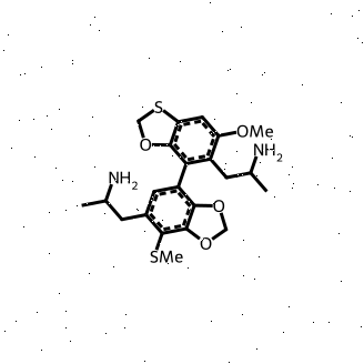 COc1cc2c(c(-c3cc(CC(C)N)c(SC)c4c3OCO4)c1CC(C)N)OCS2